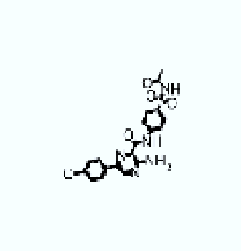 CC(=O)NS(=O)(=O)c1ccc(NC(=O)c2nc(-c3ccc(Cl)cc3)cnc2N)cc1